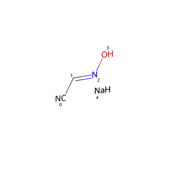 N#CC=NO.[NaH]